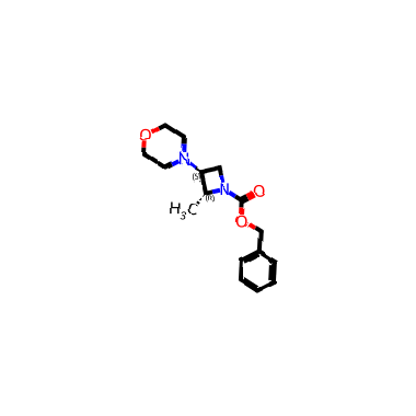 C[C@@H]1[C@@H](N2CCOCC2)CN1C(=O)OCc1ccccc1